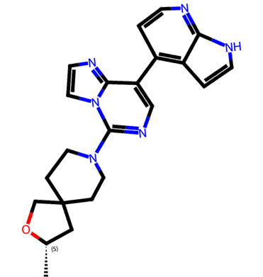 C[C@H]1CC2(CCN(c3ncc(-c4ccnc5[nH]ccc45)c4nccn34)CC2)CO1